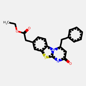 CCOC(=O)Cc1ccc2c(c1)sc1nc(=O)cc(Cc3ccccc3)n12